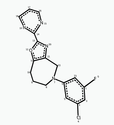 Fc1cc(Cl)cc(N2CCCc3oc(-c4ncccn4)nc3C2)c1